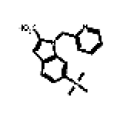 C[Si](C)(C)c1ccc2cc(C(=O)O)n(Cc3ccccn3)c2c1